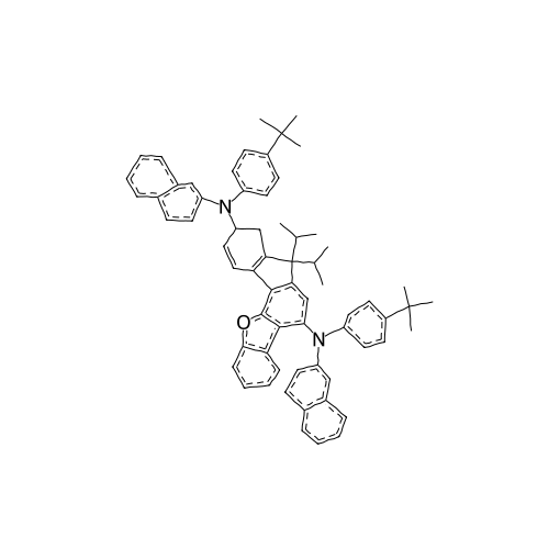 CC(C)C1(C(C)C)C2=C(C=CC(N(c3ccc(C(C)(C)C)cc3)c3ccc4ccccc4c3)C2)c2c1cc(N(c1ccc(C(C)(C)C)cc1)c1ccc3ccccc3c1)c1c2oc2ccccc21